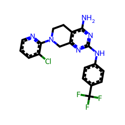 Nc1nc(Nc2ccc(C(F)(F)F)cc2)nc2c1CCN(c1ncccc1Cl)C2